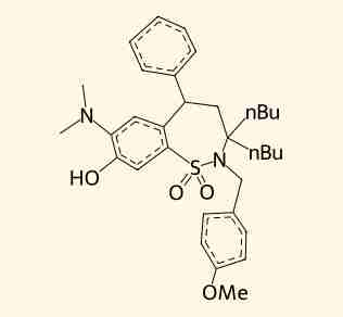 CCCCC1(CCCC)CC(c2ccccc2)c2cc(N(C)C)c(O)cc2S(=O)(=O)N1Cc1ccc(OC)cc1